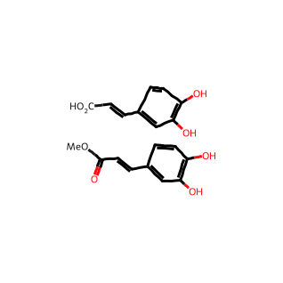 COC(=O)C=Cc1ccc(O)c(O)c1.O=C(O)C=Cc1ccc(O)c(O)c1